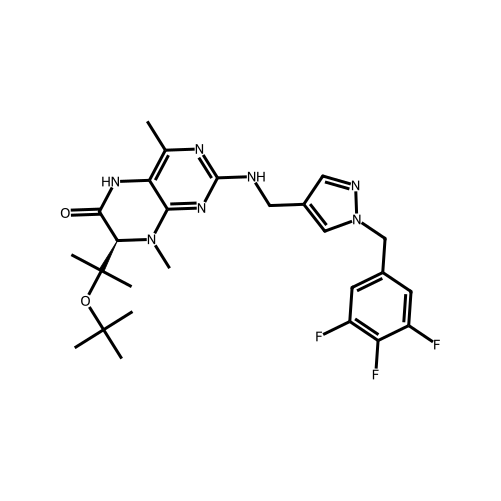 Cc1nc(NCc2cnn(Cc3cc(F)c(F)c(F)c3)c2)nc2c1NC(=O)[C@H](C(C)(C)OC(C)(C)C)N2C